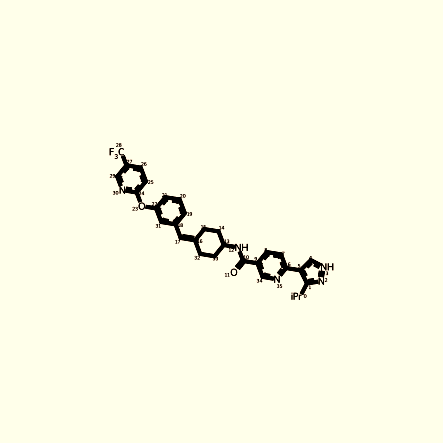 CC(C)c1n[nH]cc1-c1ccc(C(=O)NC2CCC(=Cc3cccc(Oc4ccc(C(F)(F)F)cn4)c3)CC2)cn1